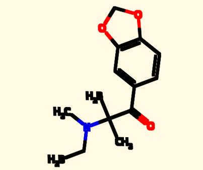 BCN(C)C(B)(C)C(=O)c1ccc2c(c1)OCO2